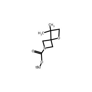 CC(C)(C)OC(=O)N1CC2(C1)OCC2(C)C